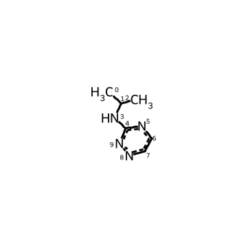 CC(C)Nc1nccnn1